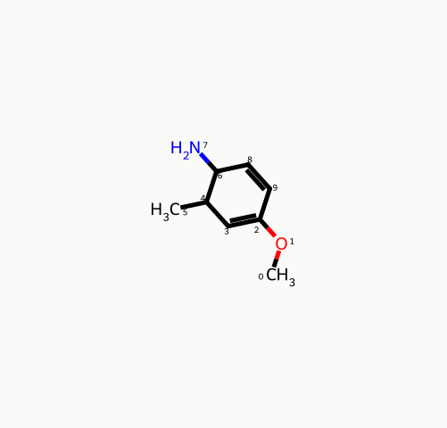 COC1=CC(C)C(N)C=C1